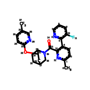 Cc1ccc(-c2ncccc2F)c(C(=O)N2CC3CCC2C(Oc2ccc(C(F)(F)F)cn2)C3)n1